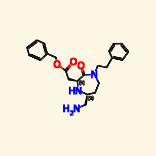 NC[C@@H]1CCN(CCc2ccccc2)C(=O)[C@H](CC(=O)OCc2ccccc2)N1